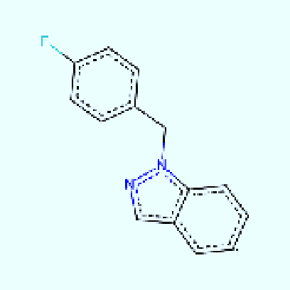 Fc1ccc(Cn2ncc3c[c]ccc32)cc1